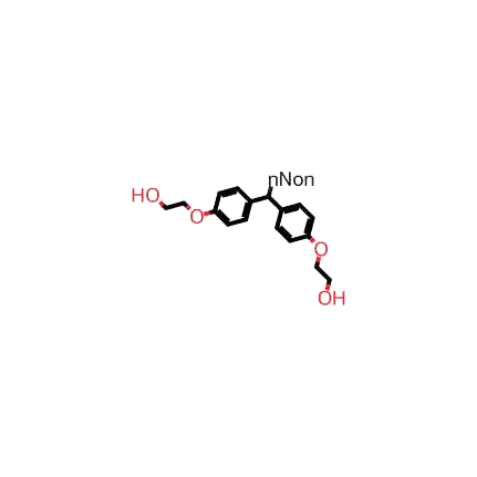 CCCCCCCCCC(c1ccc(OCCO)cc1)c1ccc(OCCO)cc1